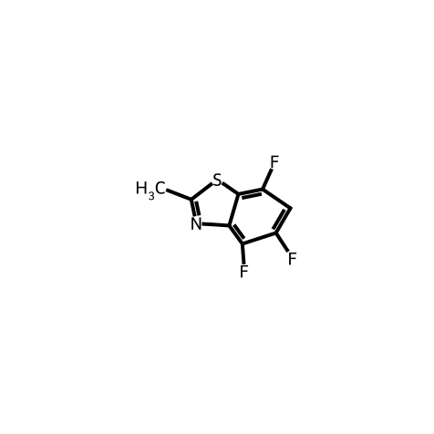 Cc1nc2c(F)c(F)cc(F)c2s1